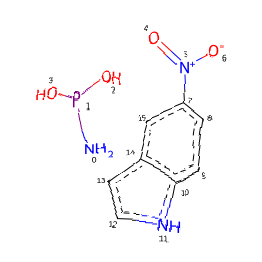 NP(O)O.O=[N+]([O-])c1ccc2[nH]ccc2c1